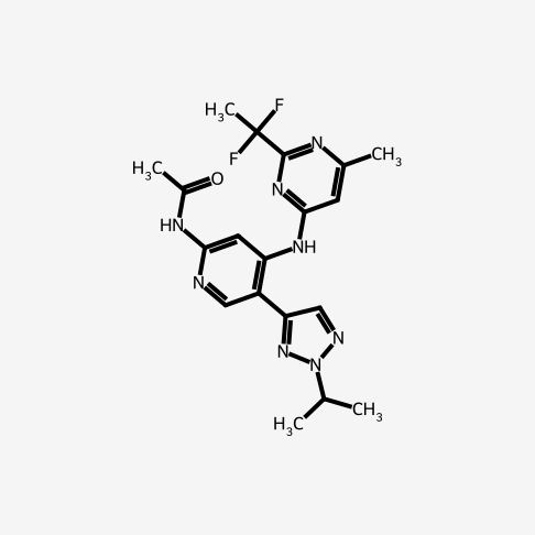 CC(=O)Nc1cc(Nc2cc(C)nc(C(C)(F)F)n2)c(-c2cnn(C(C)C)n2)cn1